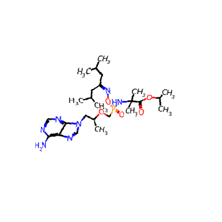 CC(C)CC(CC(C)C)=NOP(=O)(CO[C@@H](C)Cn1cnc2c(N)ncnc21)NC(C)(C)C(=O)OC(C)C